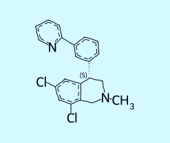 CN1Cc2c(Cl)cc(Cl)cc2[C@H](c2cccc(-c3ccccn3)c2)C1